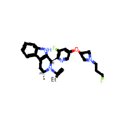 C=C(CC)N1[C@H](c2ncc(OC3CN(CCCF)C3)cc2F)c2[nH]c3ccccc3c2C[C@H]1C